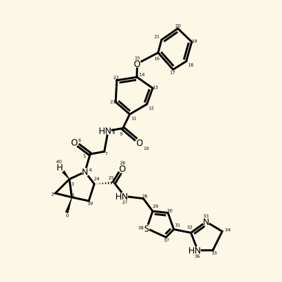 C[C@@]12C[C@@H]1N(C(=O)CNC(=O)c1ccc(Oc3ccccc3)cc1)[C@H](C(=O)NCc1cc(C3=NCCN3)cs1)C2